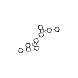 c1ccc(-c2ccc(-n3c4ccccc4c4cc(-c5ccc6c(c5)c5ccccc5n6-c5cccc6c(-c7ccccc7)cccc56)ccc43)cc2)cc1